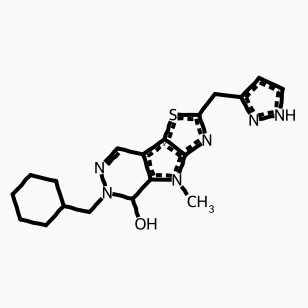 Cn1c2c(c3sc(Cc4cc[nH]n4)nc31)C=NN(CC1CCCCC1)C2O